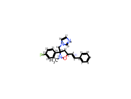 CN1OC(/C=C/c2ccccc2)CC1(Cn1ccnc1)c1ccc(F)cc1